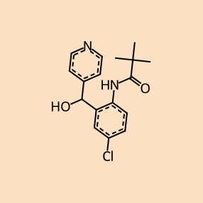 CC(C)(C)C(=O)Nc1ccc(Cl)cc1C(O)c1ccncc1